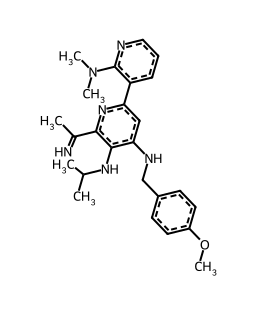 COc1ccc(CNc2cc(-c3cccnc3N(C)C)nc(C(C)=N)c2NC(C)C)cc1